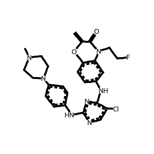 C=C1Oc2ccc(Nc3nc(Nc4ccc(N5CCN(C)CC5)cc4)ncc3Cl)cc2N(CCF)C1=O